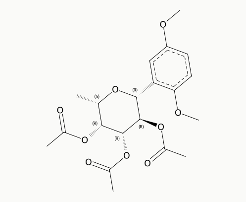 COc1ccc(OC)c([C@H]2O[C@@H](C)[C@@H](OC(C)=O)[C@@H](OC(C)=O)[C@@H]2OC(C)=O)c1